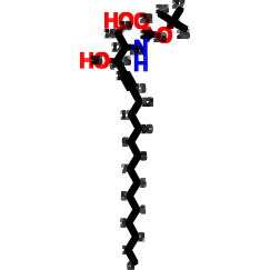 CCCCCCCCCCCCCC#C[C@@H](O)C(CO)NC(=O)OC(C)(C)C